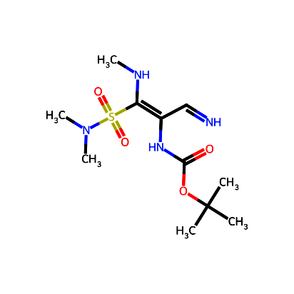 CN/C(=C(\C=N)NC(=O)OC(C)(C)C)S(=O)(=O)N(C)C